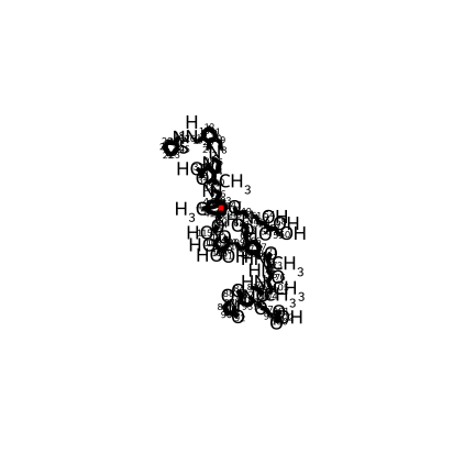 Cc1c(-c2ccc(N3CCc4cccc(CNc5nc6ccccc6s5)c4C3)nc2C(=O)O)cnn1CC12CC3(C)CC(C)(C1)CC(OCCN(CC[C@@H](O)[C@H](O)[C@H](O)CO)C(=O)OCc1ccc(NC(=O)[C@H](C)NC(=O)[C@@H](NC(=O)CN4C(=O)[C@@H](N5C(=O)C=CC5=O)C[C@H]4COCCS(=O)(=O)O)C(C)C)cc1CC[C@@H]1O[C@H](C(=O)O)[C@@H](O)[C@H](O)[C@H]1O)(C3)C2